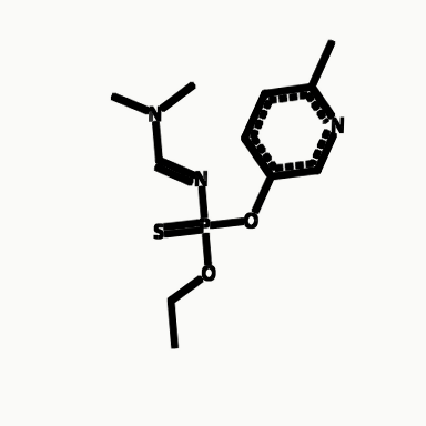 CCOP(=S)(N=CN(C)C)Oc1ccc(C)nc1